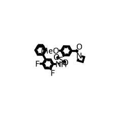 COc1ccc(C(=O)N2CCC2)cc1S(=O)(=O)Nc1cc(-c2cc#ccc2)c(F)cc1F